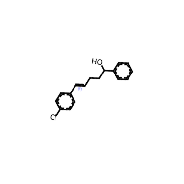 OC(CC/C=C/c1ccc(Cl)cc1)c1ccccc1